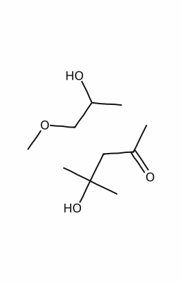 CC(=O)CC(C)(C)O.COCC(C)O